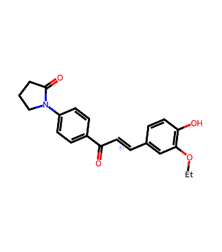 CCOc1cc(/C=C/C(=O)c2ccc(N3CCCC3=O)cc2)ccc1O